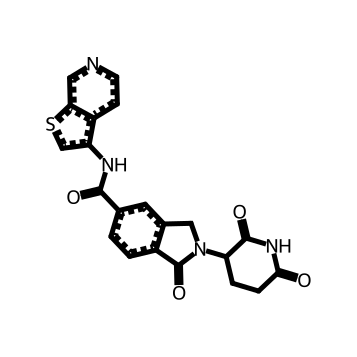 O=C1CCC(N2Cc3cc(C(=O)Nc4csc5cnccc45)ccc3C2=O)C(=O)N1